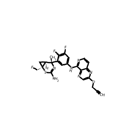 C#CCOc1cnc2c(Nc3cc(F)c(F)c([C@]4(C)N=C(N)S[C@@]5(CF)C[C@H]54)c3)nccc2n1